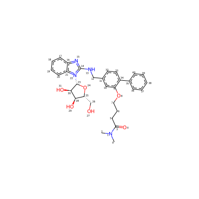 CN(C)C(=O)CCCOc1cc(CNc2nc3ccccc3n2[C@@H]2O[C@H](CO)[C@@H](O)[C@H]2O)ccc1-c1ccccc1